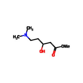 COC(=O)CC(O)CCN(C)C